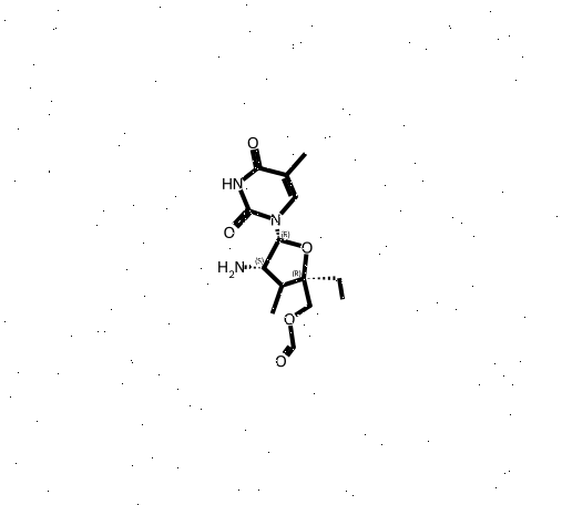 CC[C@@]1(COC=O)O[C@@H](n2cc(C)c(=O)[nH]c2=O)[C@@H](N)C1C